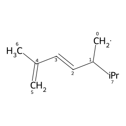 [CH2]C(/C=C/C(=C)C)C(C)C